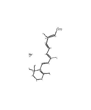 CC(C=CC1=C(C)CCCC1(C)C)=CC=CC(C)=CC(=O)[O-].[Na+]